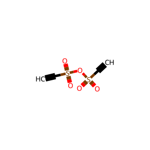 C#CS(=O)(=O)OS(=O)(=O)C#C